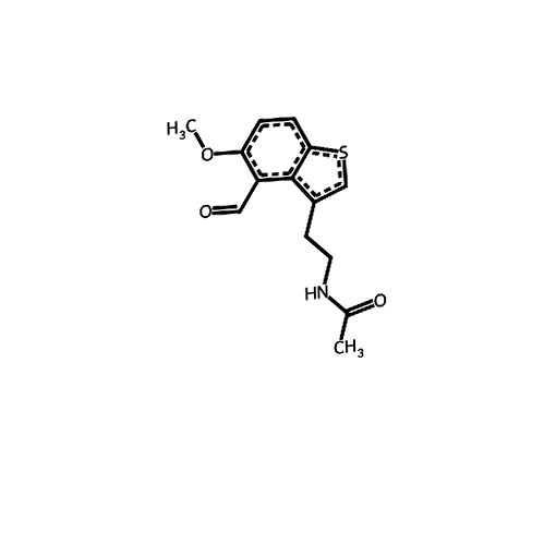 COc1ccc2scc(CCNC(C)=O)c2c1C=O